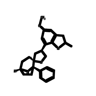 CC1Cc2cc(OC(F)(F)F)cc([C@H]3CO[C@]4(CC[C@@H]5CC[C@]4(c4ccccc4)N5)C3)c2O1